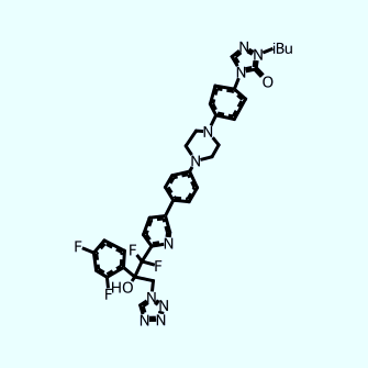 CCC(C)n1ncn(-c2ccc(N3CCN(c4ccc(-c5ccc(C(F)(F)C(O)(Cn6cnnn6)c6ccc(F)cc6F)nc5)cc4)CC3)cc2)c1=O